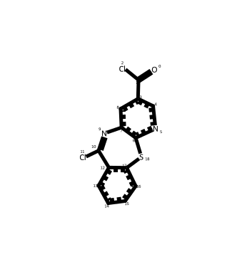 O=C(Cl)c1cnc2c(c1)N=C(Cl)c1ccccc1S2